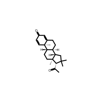 CC(=O)[C@H]1C(C)(C)C[C@H]2[C@@H]3CCC4=CC(=O)C=C[C@]4(C)[C@H]3CC[C@@]21C